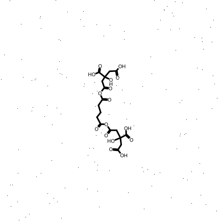 O=C(O)CC(O)(CC(=O)OC(=O)CCCC(=O)OC(=O)CC(O)(CC(=O)O)C(=O)O)C(=O)O